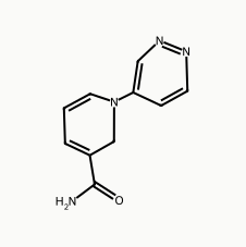 NC(=O)C1=CC=CN(c2ccnnc2)C1